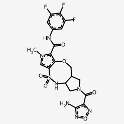 Cn1cc2c(c1C(=O)Nc1cc(F)c(F)c(F)c1)OCC1CN(C(=O)c3nonc3N)CC1NS2(=O)=O